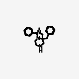 CN(C)CC1(Cc2ccccc2)CNCCN1Cc1ccccc1